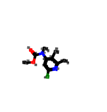 Cc1nc(Cl)cc(N(C)C(=O)OC(C)(C)C)c1C#N